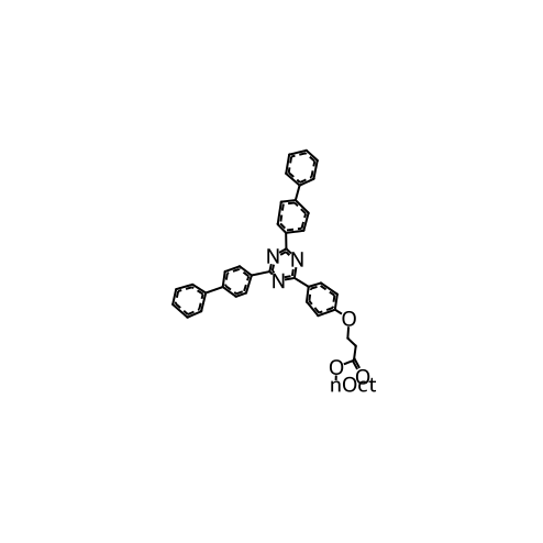 CCCCCCCCOC(=O)CCOc1ccc(-c2nc(-c3ccc(-c4ccccc4)cc3)nc(-c3ccc(-c4ccccc4)cc3)n2)cc1